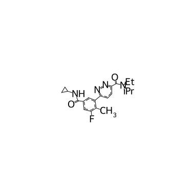 CCN(C(=O)c1ccc(-c2cc(C(=O)NC3CC3)cc(F)c2C)nn1)C(C)C